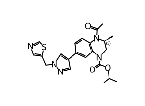 CC(=O)N1c2ccc(-c3cnn(Cc4cncs4)c3)cc2N(C(=O)OC(C)C)C[C@@H]1C